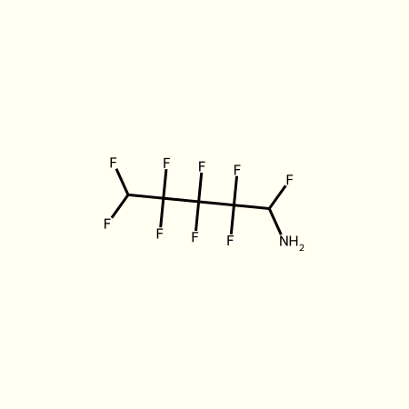 NC(F)C(F)(F)C(F)(F)C(F)(F)C(F)F